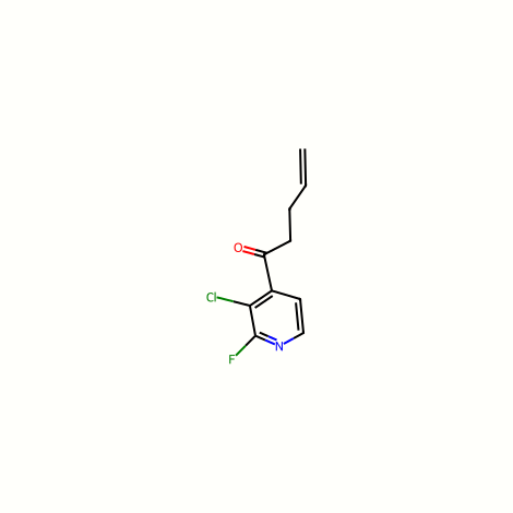 C=CCCC(=O)c1ccnc(F)c1Cl